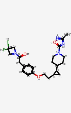 CC(C)c1noc(N2CCC(C3CC3CCOc3ccc(CC(=O)N4CC(F)(F)C4)cc3)CC2)n1